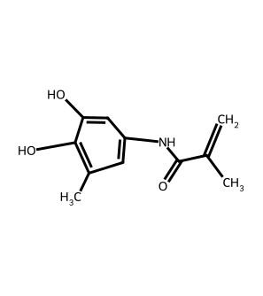 C=C(C)C(=O)Nc1cc(C)c(O)c(O)c1